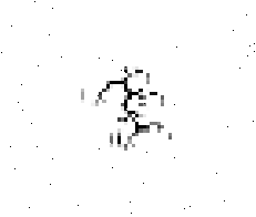 CCC(C)C(C)CS(=O)(=O)C(C)C